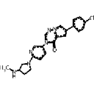 CNC1CCN(c2ccc(-n3cnn4cc(-c5ccc(Cl)cc5)cc4c3=O)cn2)C1